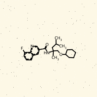 CC(C)CC(C)(COC1CCCCC1)NC(=O)c1cnc2c(F)cccc2c1